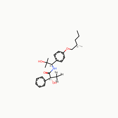 [2H]C([2H])([2H])[C@](O)(C(=O)N[C@H](c1ccc(OC[C@@H](C)CCC)cc1)C(C)(C)O)c1ccccc1